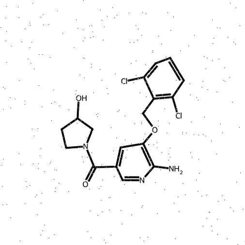 Nc1ncc(C(=O)N2CCC(O)C2)cc1OCc1c(Cl)cccc1Cl